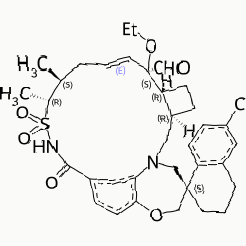 CCO[C@]1(C=O)/C=C/C[C@H](C)[C@@H](C)S(=O)(=O)NC(=O)c2ccc3c(c2)N(C[C@@H]2CC[C@H]21)C[C@@]1(CCCc2cc(Cl)ccc21)CO3